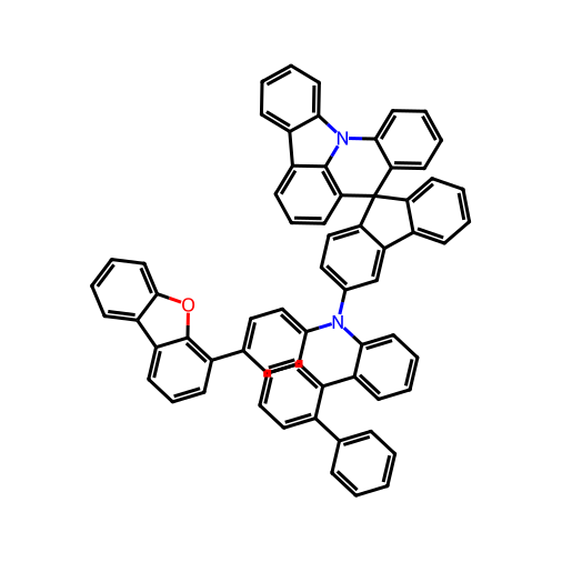 c1ccc(-c2ccccc2-c2ccccc2N(c2ccc(-c3cccc4c3oc3ccccc34)cc2)c2ccc3c(c2)-c2ccccc2C32c3ccccc3-n3c4ccccc4c4cccc2c43)cc1